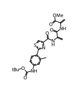 C=C(NC(=O)c1csc(-c2ccc(NC(=O)OC(C)(C)C)cc2C)n1)C(=O)NC(=C)C(=O)OC